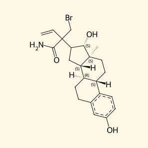 C=CC(CBr)(C(N)=O)C1C[C@H]2[C@@H]3CCc4cc(O)ccc4[C@H]3CC[C@]2(C)[C@H]1O